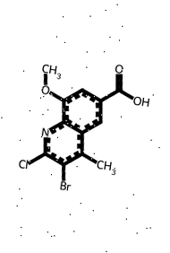 COc1cc(C(=O)O)cc2c(C)c(Br)c(Cl)nc12